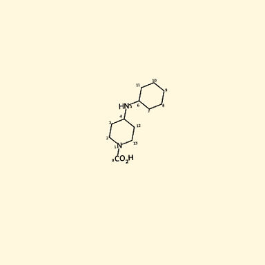 O=C(O)N1CCC(NC2CCCCC2)CC1